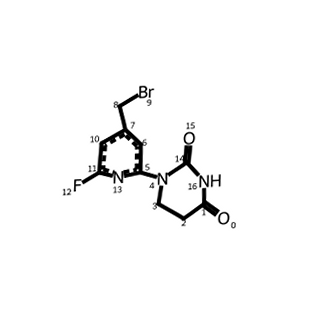 O=C1CCN(c2cc(CBr)cc(F)n2)C(=O)N1